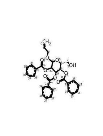 C=CCOC1O[C@H](CO)[C@@H](OC(=O)c2ccccc2)[C@H](OC(=O)c2ccccc2)C1OC(=O)c1ccccc1